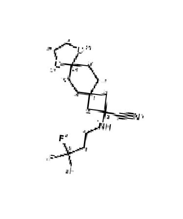 N#CC1(NCCC(F)(F)F)CC2(CCC3(CC2)OCCO3)C1